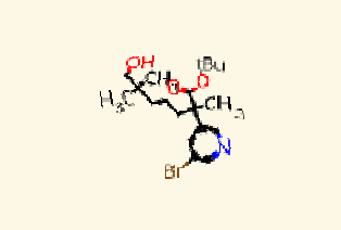 CC(C)(CO)CCCC(C)(C(=O)OC(C)(C)C)c1cncc(Br)c1